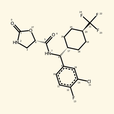 O=C1NC[C@@H](C(=O)NC(c2ccc(F)c(Cl)c2)[C@H]2CC[C@H](C(F)(F)F)CC2)O1